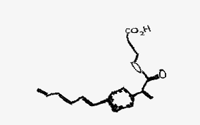 C=CC=CC=Cc1ccc(C(=C)C(=O)OCCC(=O)O)cc1